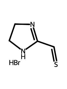 Br.S=CC1=NCCN1